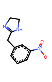 O=[N+]([O-])c1cccc(CC2=NCCN2)c1